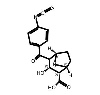 CN1[C@@H]2CC[C@H]1C(C(=O)c1ccc(N=C=S)cc1)[C@H](O)[C@@H]2C(=O)O